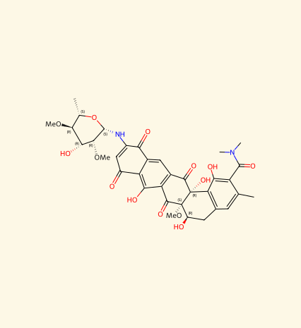 CO[C@@H]1[C@@H](O)[C@@H](OC)[C@@H](NC2=CC(=O)c3c(cc4c(c3O)C(=O)[C@]3(OC)[C@H](O)Cc5cc(C)c(C(=O)N(C)C)c(O)c5[C@]3(O)C4=O)C2=O)O[C@H]1C